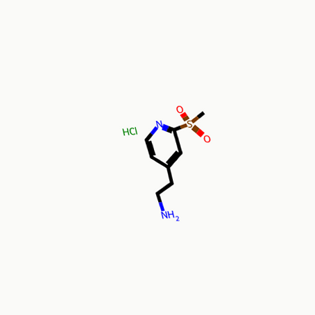 CS(=O)(=O)c1cc(CCN)ccn1.Cl